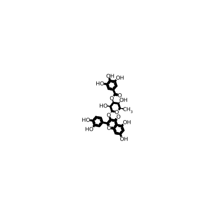 C[C@H]1O[C@H](Oc2c(-c3ccc(O)c(O)c3)oc3cc(O)cc(O)c3c2=O)[C@@H](O)[C@@H](OC(=O)c2cc(O)c(O)c(O)c2)[C@@H]1O